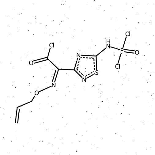 C=CCON=C(C(=O)Cl)c1nsc(NP(=O)(Cl)Cl)n1